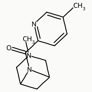 Cc1ccc(C(=O)N2C3CC2CN(C)C3)nc1